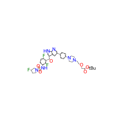 CC(C)(C)OC(=O)COCCN1CCN(c2ccc(-c3cnc4[nH]cc(C(=O)c5c(F)ccc(NS(=O)(=O)N6CCC(F)C6)c5F)c4c3)cc2)CC1